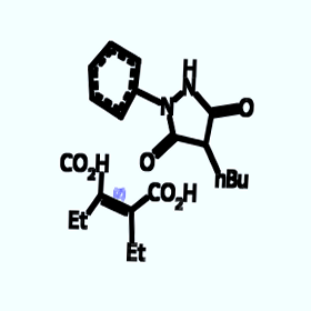 CC/C(C(=O)O)=C(\CC)C(=O)O.CCCCC1C(=O)NN(c2ccccc2)C1=O